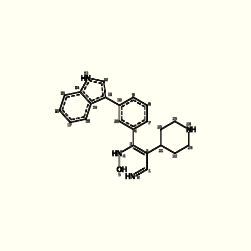 N=C/C(=C(\NO)c1cccc(-c2c[nH]c3ccccc23)c1)C1CCNCC1